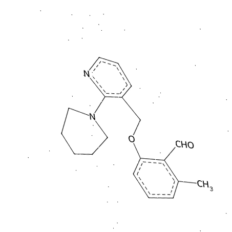 Cc1cccc(OCc2cccnc2N2CCCCC2)c1C=O